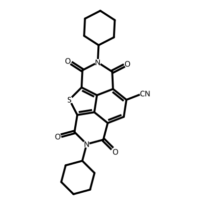 N#Cc1cc2c3c(sc4c3c1C(=O)N(C1CCCCC1)C4=O)C(=O)N(C1CCCCC1)C2=O